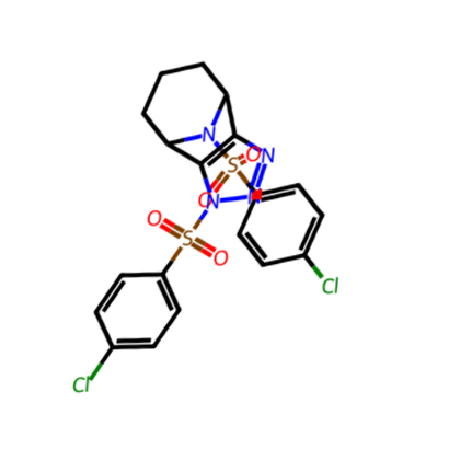 O=S(=O)(c1ccc(Cl)cc1)N1C2CCCC1c1c2nnn1S(=O)(=O)c1ccc(Cl)cc1